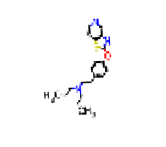 CCCN(CCC)CCc1ccc(Oc2nc3cnccc3s2)cc1